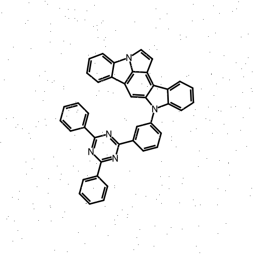 c1ccc(-c2nc(-c3ccccc3)nc(-c3cccc(-n4c5ccccc5c5c6ccn7c8ccccc8c(cc54)c67)c3)n2)cc1